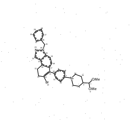 COC(OC)C1CCN(c2ccc(C3=C(Br)CCc4c3ccc3c4cnn3Cc3ccccc3)cc2)CC1